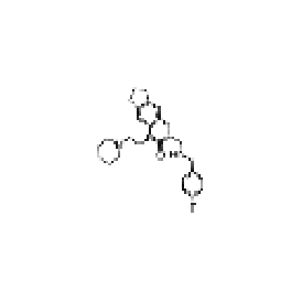 O=c1c(CNCc2ccc(F)cc2)cc2cc3c(cc2n1CCN1CCCCC1)CCC3